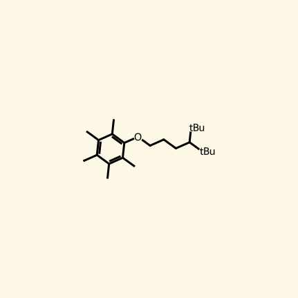 Cc1c(C)c(C)c(OCCCC(C(C)(C)C)C(C)(C)C)c(C)c1C